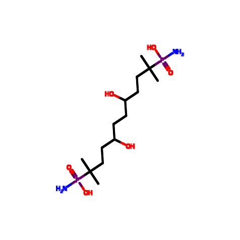 CC(C)(CCC(O)CCC(O)CCC(C)(C)P(N)(=O)O)P(N)(=O)O